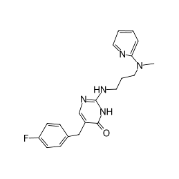 CN(CCCNc1ncc(Cc2ccc(F)cc2)c(=O)[nH]1)c1ccccn1